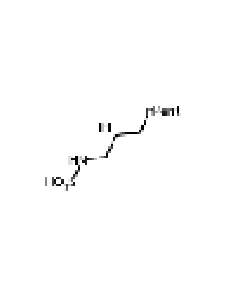 CCCCCCCCNS(=O)(=O)O.[LiH]